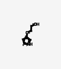 OCCOc1cc[nH]c1